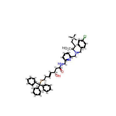 C[Si](C)(C)CCC(C(=O)O)N(Cc1ccc(Cl)cc1)Cc1cccc(CNC(=O)C[C@H](O)/C=C/CCSC(c2ccccc2)(c2ccccc2)c2ccccc2)n1